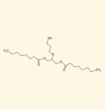 CCCCCCCC(=O)OCC(COC(=O)CCCCCCC)OCCCO